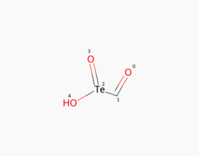 O=C[Te](=O)O